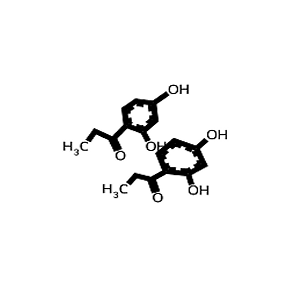 CCC(=O)c1ccc(O)cc1O.CCC(=O)c1ccc(O)cc1O